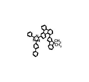 CC1(C)c2ccccc2-c2ccc(-c3cccc4c5ccccc5c5cc(-c6nc(-c7ccccc7)nc(-c7ccc(-c8ccccc8)cc7)n6)ccc5c34)cc21